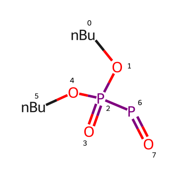 CCCCOP(=O)(OCCCC)P=O